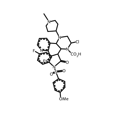 CCOc1ncccc1C1C(C2C(=O)N(S(=O)(=O)c3ccc(OC)cc3)c3ccc(F)cc32)N(C(=O)O)C(Cl)CN1C1CCN(C)CC1